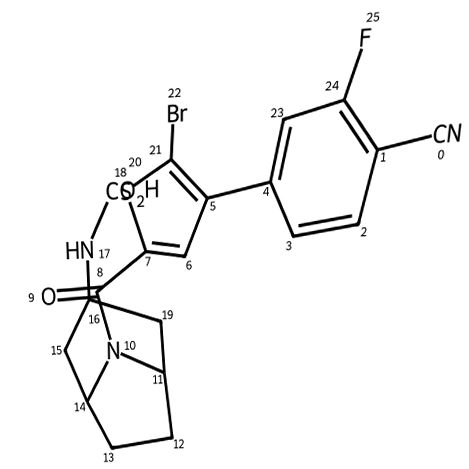 N#Cc1ccc(-c2cc(C(=O)N3C4CCC3CC(NC(=O)O)C4)sc2Br)cc1F